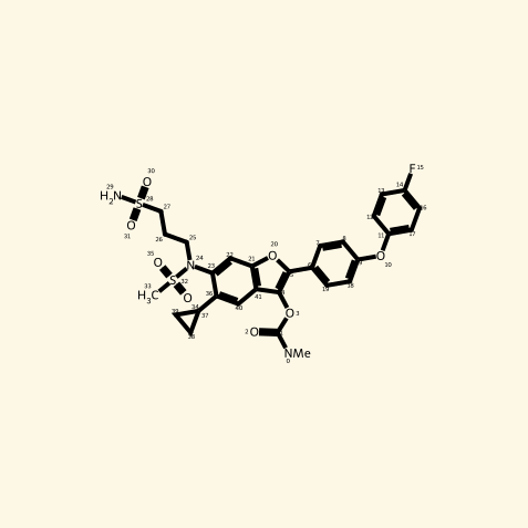 CNC(=O)Oc1c(-c2ccc(Oc3ccc(F)cc3)cc2)oc2cc(N(CCCS(N)(=O)=O)S(C)(=O)=O)c(C3CC3)cc12